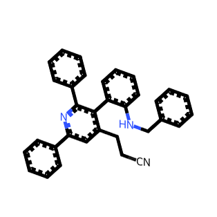 N#CCCc1cc(-c2ccccc2)nc(-c2ccccc2)c1-c1ccccc1NCc1ccccc1